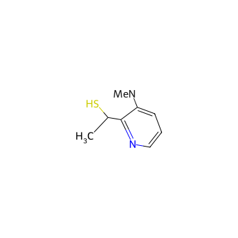 CNc1cccnc1C(C)S